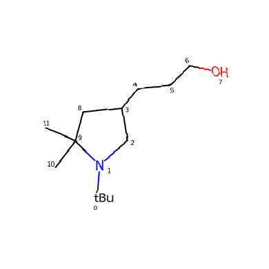 CC(C)(C)N1CC(CCCO)CC1(C)C